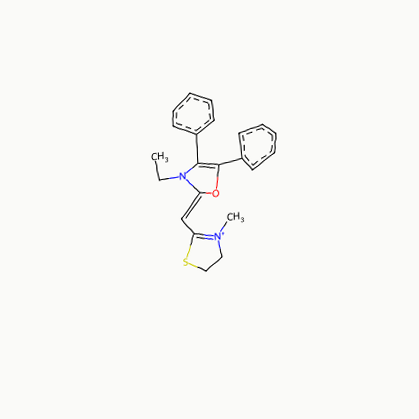 CCN1C(=CC2=[N+](C)CCS2)OC(c2ccccc2)=C1c1ccccc1